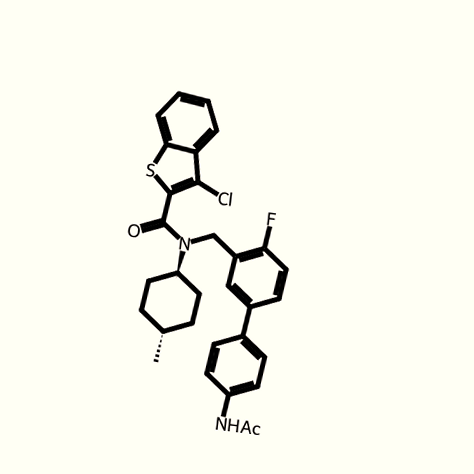 CC(=O)Nc1ccc(-c2ccc(F)c(CN(C(=O)c3sc4ccccc4c3Cl)[C@H]3CC[C@H](C)CC3)c2)cc1